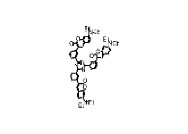 CCN(CC)c1ccc2cc(-c3cccc(-c4nc(-c5cccc(-c6cc7ccc(N(CC)CC)cc7oc6=O)c5)nc(-c5cccc(-c6cc7ccc(N(CC)CC)cc7oc6=O)c5)n4)c3)c(=O)oc2c1